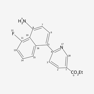 CCOC(=O)c1ccc(-c2ccc(N)c3c(F)cccc23)nc1